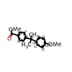 COC(=O)c1ccc(C(C)(C)c2ccc(OC)cc2)cc1